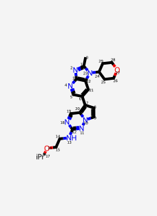 Cc1nc2ncc(-c3ccn4nc(NCCOC(C)C)ncc34)cc2n1C1CCOCC1